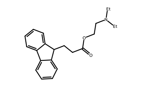 CCN(CC)CCOC(=O)CCC1c2ccccc2-c2ccccc21